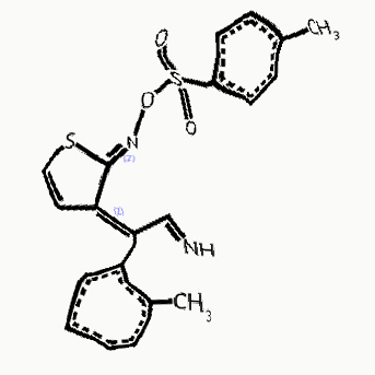 Cc1ccc(S(=O)(=O)O/N=C2\SC=C\C2=C(\C=N)c2ccccc2C)cc1